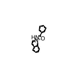 O=C(N[n+]1ccc2ccccc2c1)c1ccccc1